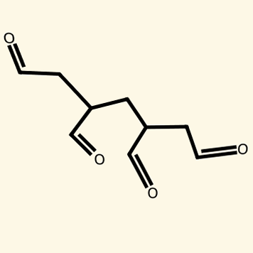 O=CCC(C=O)CC(C=O)CC=O